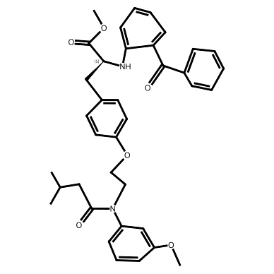 COC(=O)[C@H](Cc1ccc(OCCN(C(=O)CC(C)C)c2cccc(OC)c2)cc1)Nc1ccccc1C(=O)c1ccccc1